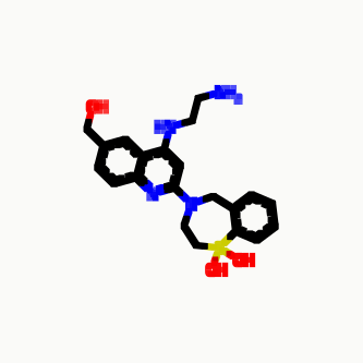 NCCNc1cc(N2CCS(O)(O)c3ccccc3C2)nc2ccc(CO)cc12